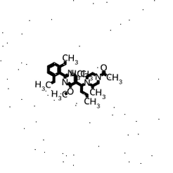 CCCC(c1c(C)nc(-c2c(CC)cccc2CC)nc1OC)N1C(C)CN(C(C)=O)CC1C